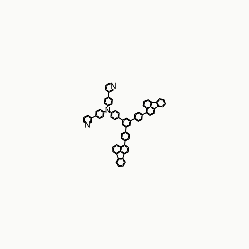 c1cncc(-c2ccc(N(c3ccc(-c4cccnc4)cc3)c3ccc(-c4cc(-c5ccc(-c6ccc7c8c(cccc68)-c6ccccc6-7)cc5)cc(-c5ccc(-c6ccc7c8c(cccc68)-c6ccccc6-7)cc5)c4)cc3)cc2)c1